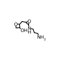 NCCCNC1OC1CC1OCC1O